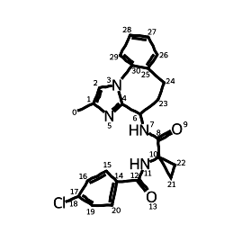 Cc1cn2c(n1)C(NC(=O)C1(NC(=O)c3ccc(Cl)cc3)CC1)CCc1ccccc1-2